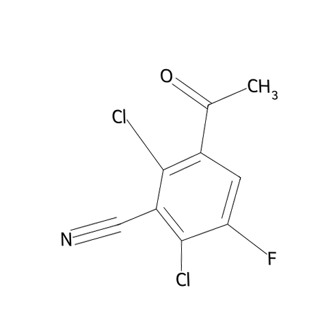 CC(=O)c1cc(F)c(Cl)c(C#N)c1Cl